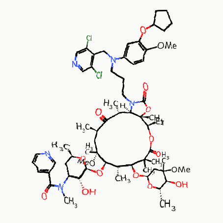 CC[C@H]1OC(=O)C(C)(C)[C@@H](O[C@H]2C[C@@](C)(OC)[C@@H](O)[C@H](C)O2)[C@H](C)[C@@H](O[C@@H]2O[C@H](C)C[C@H](N(C)C(=O)c3cccnc3)[C@H]2O)[C@](C)(OC)C[C@@H](C)C(=O)[C@H](C)[C@H]2N(CCCN(Cc3c(Cl)cncc3Cl)c3ccc(OC)c(OC4CCCC4)c3)C(=O)O[C@]12C